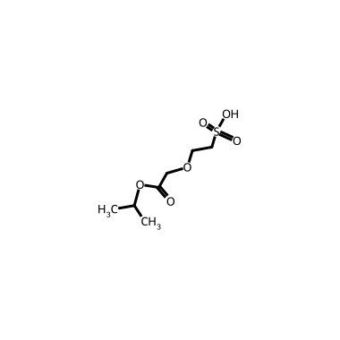 CC(C)OC(=O)COCCS(=O)(=O)O